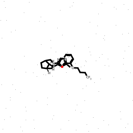 Cc1ncc(N2CC3CC[C@@H](C2)[C@@H]3Nc2nc3c(OCCCC(F)(F)F)cccn3n2)s1